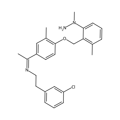 CC(=NCCc1cccc(Cl)c1)c1ccc(OCc2c(C)cccc2N(C)N)c(C)c1